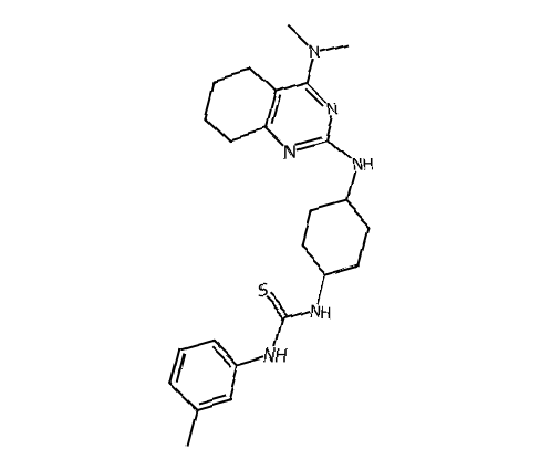 Cc1cccc(NC(=S)NC2CCC(Nc3nc4c(c(N(C)C)n3)CCCC4)CC2)c1